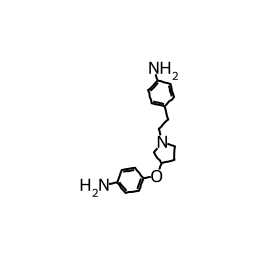 Nc1ccc(CCN2CCC(Oc3ccc(N)cc3)C2)cc1